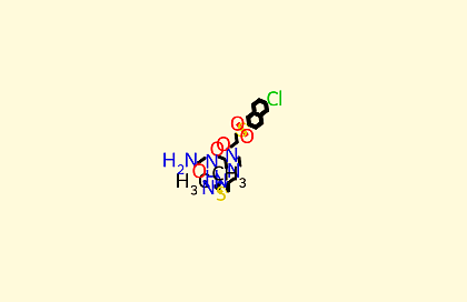 CN=c1scc(CN2CCN(C(=O)CCS(=O)(=O)c3ccc4cc(Cl)ccc4c3)C(C(=O)NCC(N)=O)C2)n1C